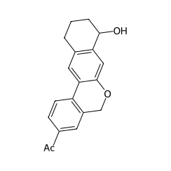 CC(=O)c1ccc2c(c1)COc1cc3c(cc1-2)CCCC3O